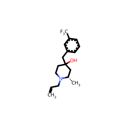 C=CCN1CCC(O)(Cc2cccc(C(F)(F)F)c2)C[C@@H]1C